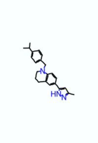 Cc1cc(-c2ccc3c(c2)CCCN3Cc2ccc(C(C)C)cc2)[nH]n1